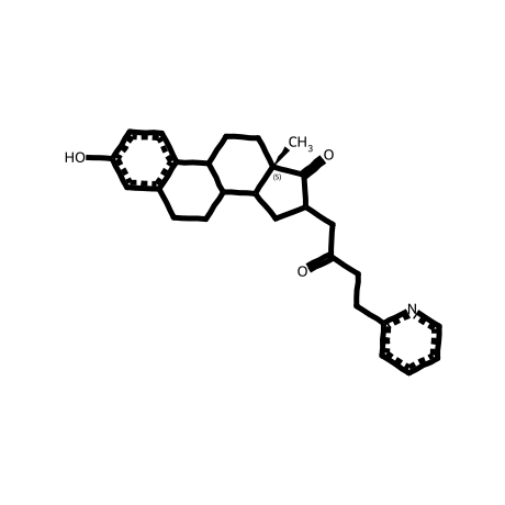 C[C@]12CCC3c4ccc(O)cc4CCC3C1CC(CC(=O)CCc1ccccn1)C2=O